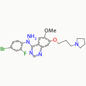 COc1cc2c(N(N)c3ccc(Br)cc3F)ncnc2cc1OCCCN1CCCC1